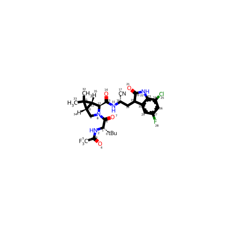 CC(C)(C)[C@H](NC(=O)C(F)(F)F)C(=O)N1C[C@H]2[C@@H]([C@H]1C(=O)N[C@H](C#N)CC1C(=O)Nc3c(Cl)cc(F)cc31)C2(C)C